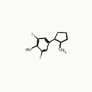 CC1CCCC1c1cc(F)c(C(C)(C)C)c(F)c1